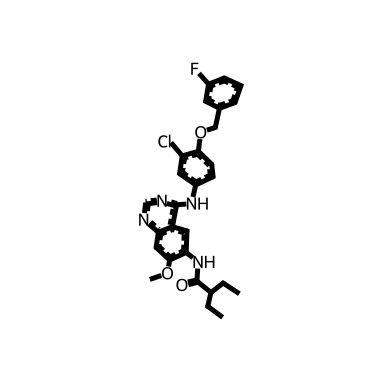 CCC(CC)C(=O)Nc1cc2c(Nc3ccc(OCc4cccc(F)c4)c(Cl)c3)ncnc2cc1OC